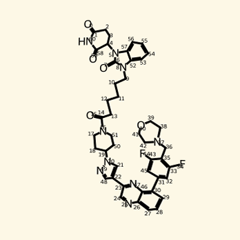 O=C1CCC(n2c(=O)n(CCCCCC(=O)N3CCC(n4cc(-c5cnc6cccc(-c7cc(F)c(CN8CCOCC8)c(F)c7)c6n5)cn4)CC3)c3ccccc32)C(=O)N1